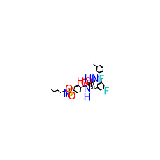 CCCCCN(C)S(=O)(=O)c1ccc(C(=O)N[C@@H](Cc2cc(F)cc(F)c2)[C@H](O)CNCc2cccc(CC)c2)cc1